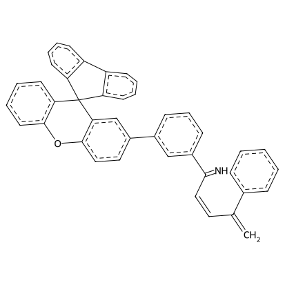 C=C(/C=C\C(=N)c1cccc(-c2ccc3c(c2)C2(c4ccccc4O3)c3ccccc3-c3ccccc32)c1)c1ccccc1